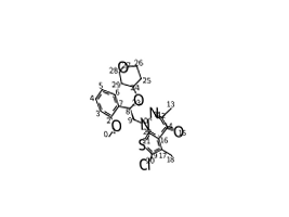 COc1ccccc1[C@H](Cn1nc(C)c(=O)c2c(C)c(Cl)sc21)OC1CCOCC1